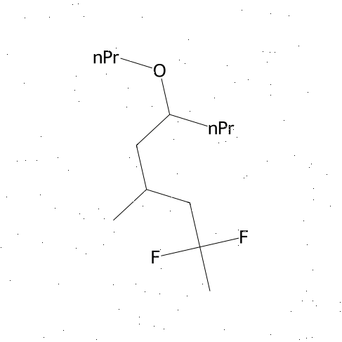 CCCOC(CCC)CC(C)CC(C)(F)F